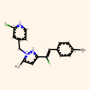 Cc1cc(/C(F)=C/c2ccc(C(C)(C)C)cc2)nn1Cc1ccnc(Cl)c1